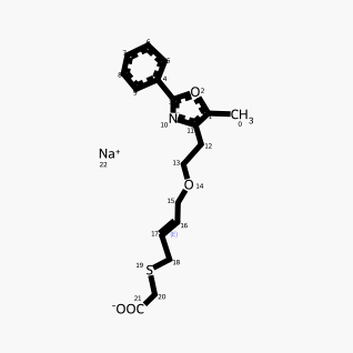 Cc1oc(-c2ccccc2)nc1CCOC/C=C/CSCC(=O)[O-].[Na+]